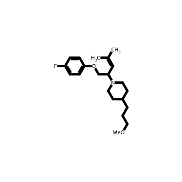 COCCCC1CCN(C(C=C(C)C)COc2ccc(F)cc2)CC1